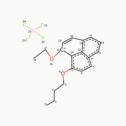 CCCCOc1ccc2cccc3c2c1[C+](OCC)C=C3.F[B-](F)(F)F